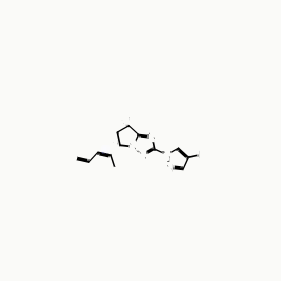 C=C/C=C(\C)[C@@H]1C[C@H](F)c2nc(-n3cc(F)cn3)nn21